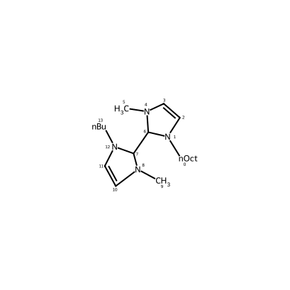 CCCCCCCCN1C=CN(C)C1C1N(C)C=CN1CCCC